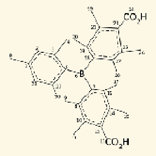 Cc1cc(C)c(B(c2c(C)c(C)c(C(=O)O)c(C)c2C)c2c(C)c(C)c(C(=O)O)c(C)c2C)c(C)c1